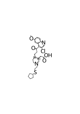 COc1ccc2ncc(Cl)c(C(=O)CC[C@@H]3CCN(CCSC4CCCC4)C[C@@H]3CC(=O)O)c2c1